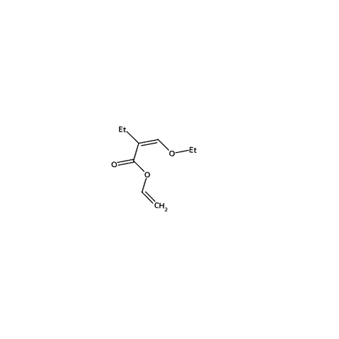 C=COC(=O)C(=COCC)CC